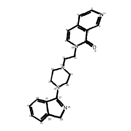 O=c1c2cnccc2ccn1CCN1CCN(C2=NCc3ccccc32)CC1